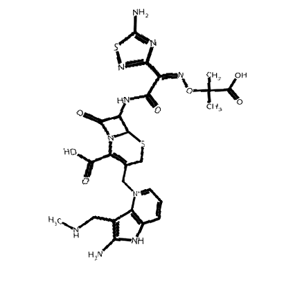 CNCc1c(N)[nH]c2ccc[n+](CC3=C(C(=O)O)N4C(=O)C(NC(=O)/C(=N\OC(C)(C)C(=O)O)c5nsc(N)n5)C4SC3)c12